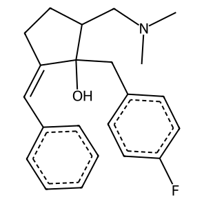 CN(C)CC1CCC(=Cc2ccccc2)C1(O)Cc1ccc(F)cc1